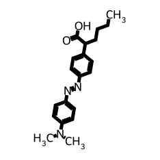 CCCCC(C(=O)O)c1ccc(/N=N/c2ccc(N(C)C)cc2)cc1